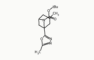 Cc1nnc(C23CC(C)CC(C2)N3C(=O)OC(C)(C)C)o1